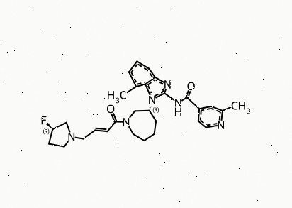 Cc1cc(C(=O)Nc2nc3cccc(C)c3n2[C@@H]2CCCCN(C(=O)C=CCN3CC[C@@H](F)C3)C2)ccn1